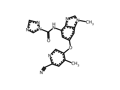 Cc1cc(C#N)ncc1Oc1cc(NC(=O)n2cncn2)c2ncn(C)c2c1